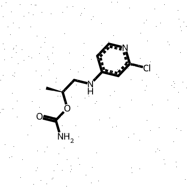 C[C@@H](CNc1ccnc(Cl)c1)OC(N)=O